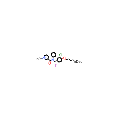 CCCCCCCCCCCCCCOc1ccc(CN(C(=O)c2ccc[n+](CCC)c2)c2ccccc2)cc1Cl.[I-]